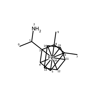 CC(N)[C]12[CH]3[CH]4[C]5(C)[C]1(C)[Fe]43521678[CH]2[CH]1[CH]6[CH]7[CH]28